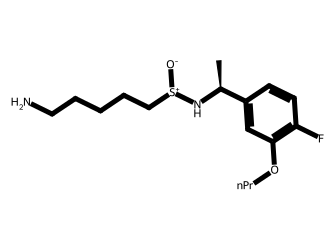 CCCOc1cc([C@H](C)N[S+]([O-])CCCCCN)ccc1F